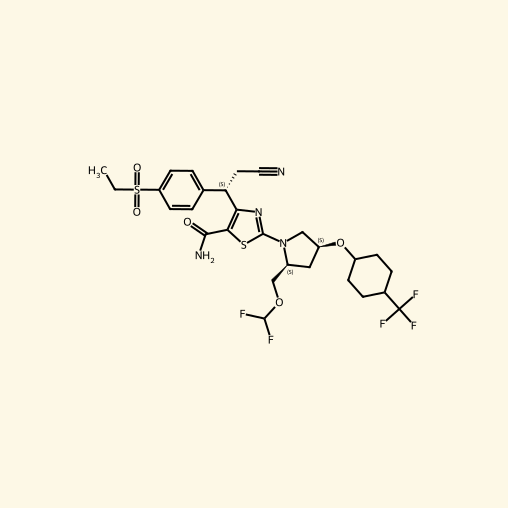 CCS(=O)(=O)c1ccc([C@H](CC#N)c2nc(N3C[C@@H](OC4CCC(C(F)(F)F)CC4)C[C@H]3COC(F)F)sc2C(N)=O)cc1